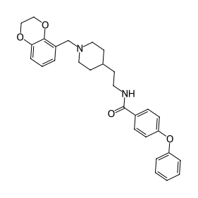 O=C(NCCC1CCN(Cc2cccc3c2OCCO3)CC1)c1ccc(Oc2ccccc2)cc1